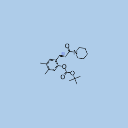 Cc1cc(/C=C/C(=O)N2CCCCC2)c(OC(=O)OC(C)(C)C)cc1C